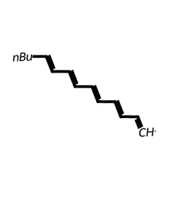 [CH]=CC=CC=CC=CC=CCCCC